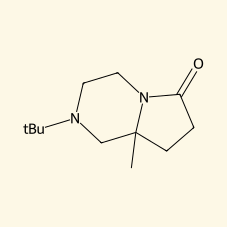 CC(C)(C)N1CCN2C(=O)CCC2(C)C1